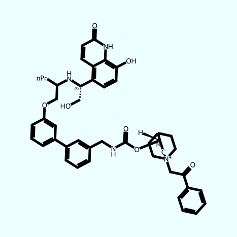 CCCC(COc1cccc(-c2cccc(CNC(=O)O[C@H]3C[N+]4(CC(=O)c5ccccc5)CCC3CC4)c2)c1)N[C@@H](CO)c1ccc(O)c2[nH]c(=O)ccc12